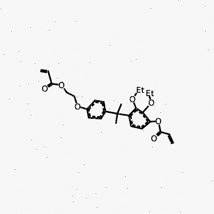 C=CC(=O)OCCOc1ccc(C(C)(C)c2ccc(OC(=O)C=C)c(OCC)c2OCC)cc1